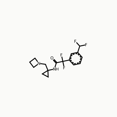 O=C(NC1(CN2CCC2)CC1)C(F)(F)c1cccc(C(F)F)c1